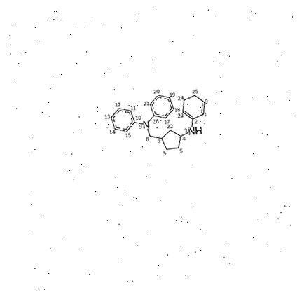 C1=CC(NC2CCC(CN(c3ccccc3)c3ccccc3)C2)=CCC1